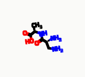 C[C@@H](NC(=O)[C@H](N)CN)C(=O)O